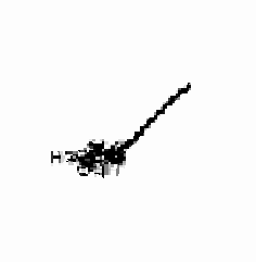 CCCCCCCCCCCCCCCCCCOc1ccccc1OS(=O)(=O)O[C@@H]1O[C@H](CO)[C@H](O)[C@H](O)[C@H]1O